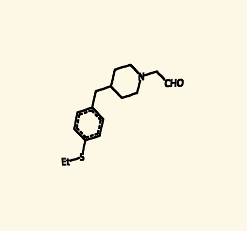 CCSc1ccc(CC2CCN(CC=O)CC2)cc1